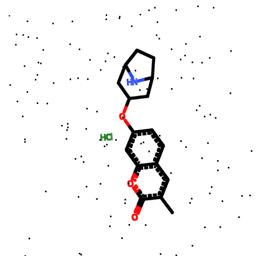 Cc1cc2ccc(OC3CC4CCC(C3)N4)cc2oc1=O.Cl